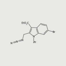 CCOC(=O)c1c(CN=[N+]=[N-])n(C(C)C)c2cc(Br)ccc12